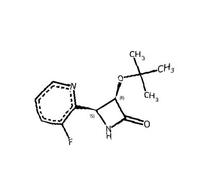 CC(C)(C)O[C@H]1C(=O)N[C@H]1c1ncccc1F